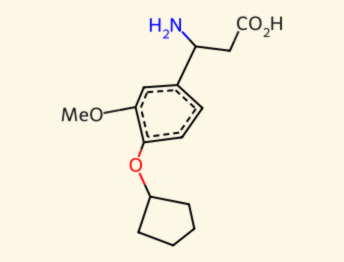 COc1cc(C(N)CC(=O)O)ccc1OC1CCCC1